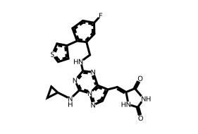 O=C1NC(=O)/C(=C/c2cnn3c(NC4CC4)nc(NCc4cc(F)ccc4-c4ccsc4)nc23)N1